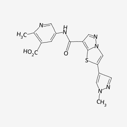 Cc1ncc(NC(=O)c2cnn3cc(-c4cnn(C)c4)sc23)cc1C(=O)O